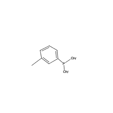 Cc1cccc(P(O)O)c1